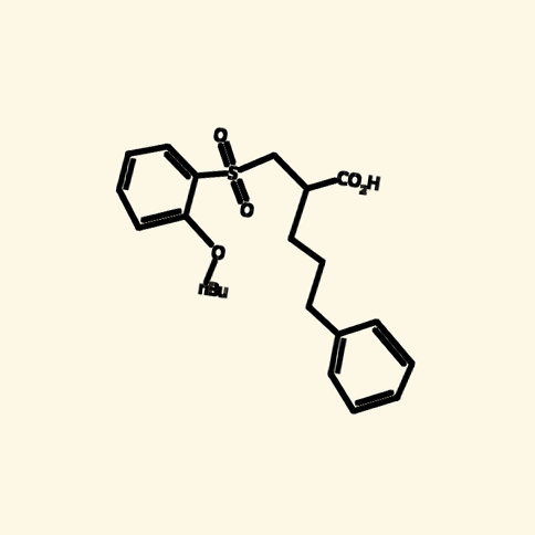 CCCCOc1ccccc1S(=O)(=O)CC(CCCc1ccccc1)C(=O)O